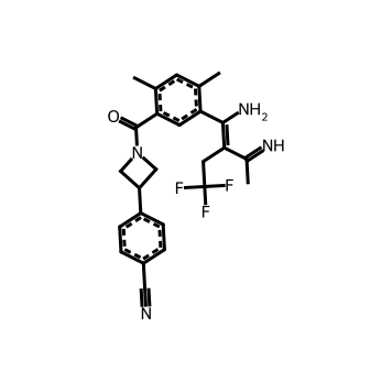 CC(=N)/C(CC(F)(F)F)=C(\N)c1cc(C(=O)N2CC(c3ccc(C#N)cc3)C2)c(C)cc1C